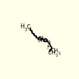 CCCCCCCCCc1cnc(-c2ccc(OCCC(F)CC(C)CC)cc2)nc1